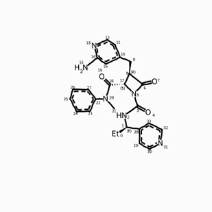 CC[C@@H](NC(=O)N1C(=O)[C@H](Cc2ccnc(N)c2)[C@H]1C(=O)N(C)c1ccccc1)c1ccncc1